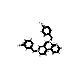 CCc1ccc(CN2C=C3CN(Cc4cccc(F)c4)CC=C3c3cccnc32)cc1